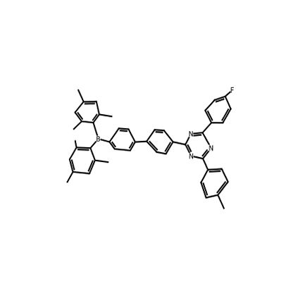 Cc1ccc(-c2nc(-c3ccc(F)cc3)nc(-c3ccc(-c4ccc(B(c5c(C)cc(C)cc5C)c5c(C)cc(C)cc5C)cc4)cc3)n2)cc1